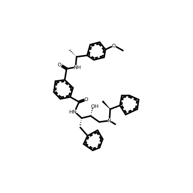 COc1ccc([C@@H](C)NC(=O)c2cccc(C(=O)N[C@@H](Cc3ccccc3)[C@H](O)CN(C)[C@@H](C)c3ccccc3)c2)cc1